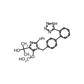 CCCc1nc(C(C)(C)O)c(OC(=O)O)n1Cc1ccc(-c2ccccc2-c2nnn[nH]2)cc1